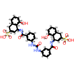 O=C(Nc1cccc(C(=O)N=C2C=C(S(=O)(=O)O)Cc3cccc(O)c32)c1)Nc1cccc(C(=O)N=C2C=C(S(=O)(=O)O)Cc3cccc(O)c32)c1